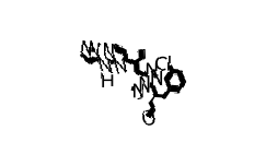 C=C/C(=C\c1nnc([C@H](CC=O)Cc2cccc(Cl)c2)n1N(C)C)c1ccnc(Nc2ccnn2C)n1